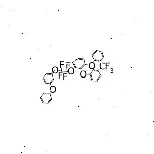 FC(F)(F)c1cccc(Oc2c(Oc3ccccc3)cccc2OC(F)(F)C(F)(F)Oc2cccc(Oc3ccccc3)c2)c1